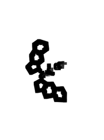 C[Si](C)=[Zr+2]([CH]1C=Cc2cc3ccccc3cc21)[CH]1C=Cc2cc3ccccc3cc21.[Cl-].[Cl-]